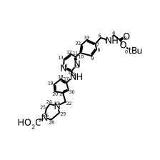 CC(C)(C)OC(=O)CNCc1ccc(-c2ccnc(Nc3cccc(CN4CCN(C(=O)O)CC4)c3)n2)cc1